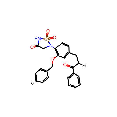 CCC(Cc1ccc(N2CC(=O)NS2(=O)=O)c(OCc2ccccc2)c1)C(=O)c1ccccc1.[K]